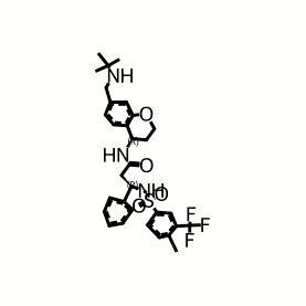 Cc1ccc(S(=O)(=O)N[C@H](CC(=O)N[C@@H]2CCOc3cc(CNC(C)(C)C)ccc32)c2ccccc2)cc1C(F)(F)F